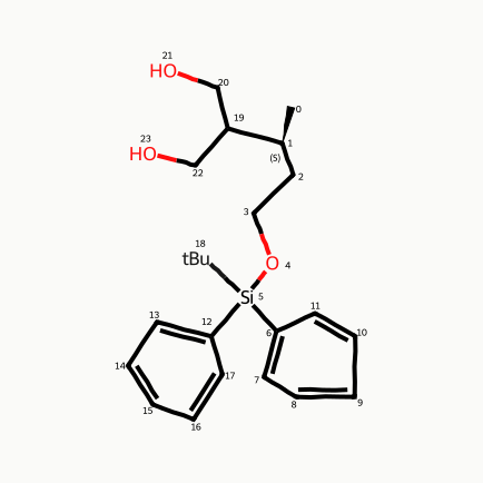 C[C@@H](CCO[Si](c1ccccc1)(c1ccccc1)C(C)(C)C)C(CO)CO